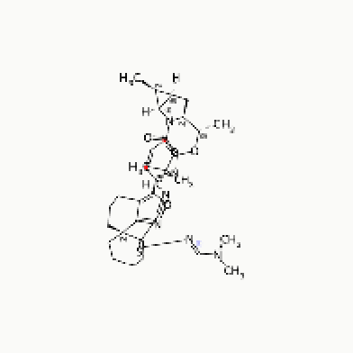 C[C@H]1[C@H]2C[C@@H]([C@H](C)Oc3nccc(-c4onc5c4CCC[C@@]54CCCc5sc(/N=C/N(C)C)c(C#N)c54)n3)N(C(=O)OC(C)(C)C)[C@@H]12